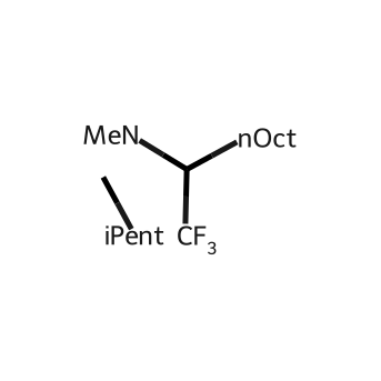 CCCC(C)C.CCCCCCCCC(NC)C(F)(F)F